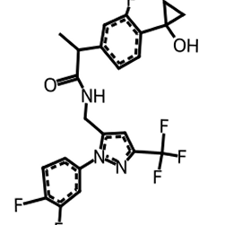 CC(C(=O)NCc1cc(C(F)(F)F)nn1-c1ccc(F)c(F)c1)c1ccc(C2(O)CC2)c(F)c1